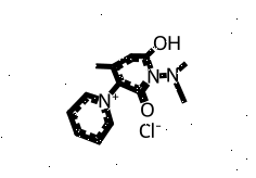 Cc1cc(O)n(N(C)C)c(=O)c1-[n+]1ccccc1.[Cl-]